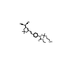 CCOC(=O)N(SC(C)(C)SCCO)c1ccc(C=CC2=CC(=C(C#N)C#N)CC(C)(C)C2)cc1